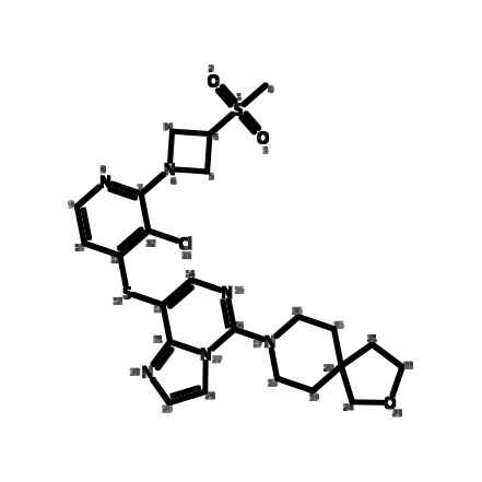 CS(=O)(=O)C1CN(c2nccc(Sc3cnc(N4CCC5(CCOC5)CC4)n4ccnc34)c2Cl)C1